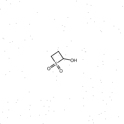 O=S1(=O)CCC1O